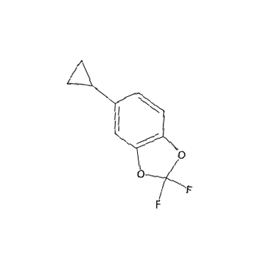 FC1(F)Oc2ccc(C3CC3)cc2O1